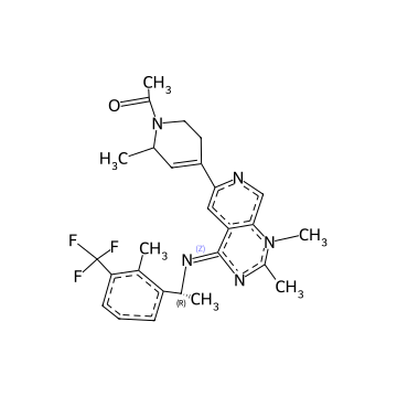 CC(=O)N1CCC(c2cc3/c(=N/[C@H](C)c4cccc(C(F)(F)F)c4C)nc(C)n(C)c3cn2)=CC1C